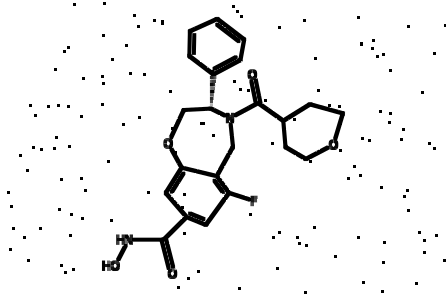 O=C(NO)c1cc(F)c2c(c1)OC[C@H](c1ccccc1)N(C(=O)C1CCOCC1)C2